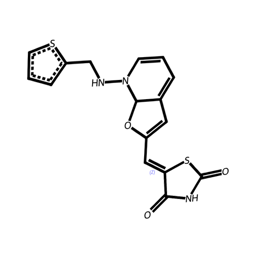 O=C1NC(=O)/C(=C/C2=CC3=CC=CN(NCc4cccs4)C3O2)S1